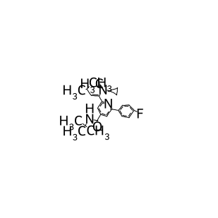 CC(C)/C=C(/c1cc(C(=O)NC(C)(C)C)cc(-c2ccc(F)cc2)n1)N(C)C1CC1